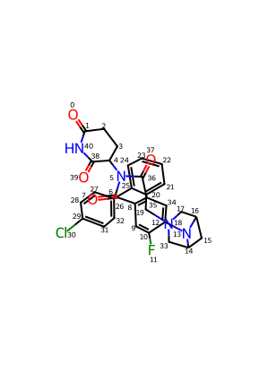 O=C1CCC(N2C(=O)c3cc(F)c(N4C5CC4CN(Cc4ccccc4-c4ccc(Cl)cc4)C5)cc3C2=O)C(=O)N1